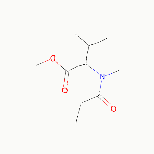 CCC(=O)N(C)C(C(=O)OC)C(C)C